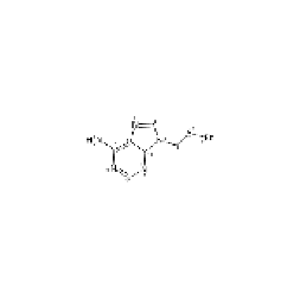 CCSCn1cnc2c(N)ncnc21